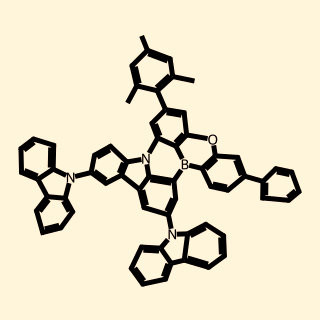 Cc1cc(C)c(-c2cc3c4c(c2)-n2c5ccc(-n6c7ccccc7c7ccccc76)cc5c5cc(-n6c7ccccc7c7ccccc76)cc(c52)B4c2ccc(-c4ccccc4)cc2O3)c(C)c1